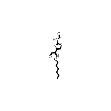 CCCCCCON=C(C=O)c1csc(NC=O)n1